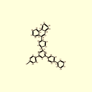 Cc1ccc(-c2cc(-c3ccc(-c4ccccc4)cc3)nc(-c3ccc(-c4cc5ccccc5c5ccccc45)cc3)n2)cc1